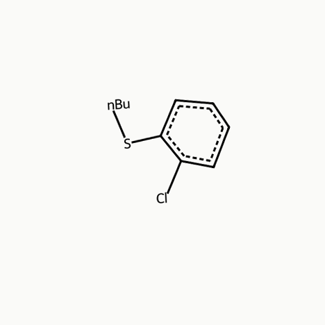 CCCCSc1ccccc1Cl